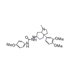 COc1ccc(NC(=O)N/N=C2\CCC3(c4ccc(OC)c(OC)c4)CCN(C)C3C2)cc1